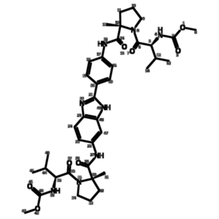 COC(=O)N[C@H](C(=O)N1CCC[C@@]1(C)C(=O)Nc1ccc(-c2nc3ccc(NC(=O)[C@]4(C)CCCN4C(=O)[C@@H](NC(=O)OC)C(C)C)cc3[nH]2)cc1)C(C)C